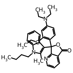 CCCCn1c(C)c(C2(c3ccc(N(CC)CC)cc3OCC)OC(=O)c3cccnc32)c2ccccc21